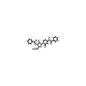 O=C(Nc1ccn(C2OC(CO)C(OC(=O)c3ccccc3)C2F)c(=O)n1)c1ccccc1